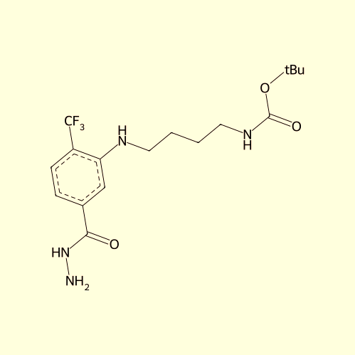 CC(C)(C)OC(=O)NCCCCNc1cc(C(=O)NN)ccc1C(F)(F)F